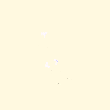 COc1cc2ncc(Oc3ccc(N[SH](=O)=O)cc3)nc2cc1OC